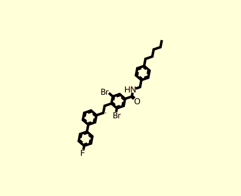 CCCCCc1ccc(CNC(=O)c2cc(Br)c(C[CH]c3cccc(-c4ccc(F)cc4)c3)c(Br)c2)cc1